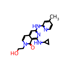 Cc1ccnc(Nc2cc3ccn(CCO)c(=O)c3c(NC3CC3)n2)c1